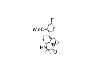 COc1cc(F)ccc1-c1ccc2c3c1CON3C(=O)C(C)(C)N2